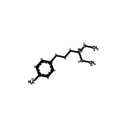 CO[SiH](CCCc1ccc(C)cc1)OC